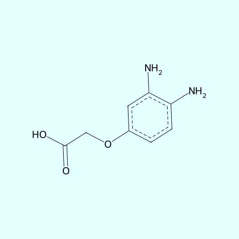 Nc1ccc(OCC(=O)O)cc1N